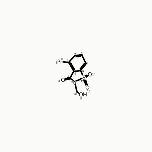 CC(C)c1cccc2c1C(=O)N(CO)S2(=O)=O